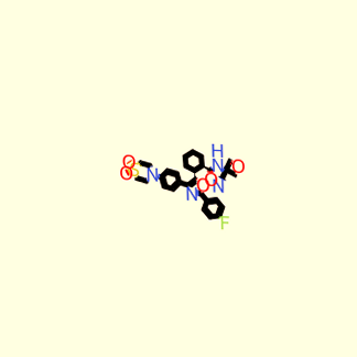 N#CC1(NC(=O)[C@@H]2CCCC[C@H]2c2oc(-c3ccc(F)cc3)nc2-c2ccc(N3CCS(=O)(=O)CC3)cc2)COC1